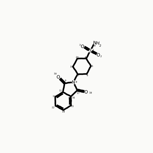 NS(=O)(=O)C1CCC(N2C(=O)c3ccccc3C2=O)CC1